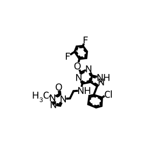 Cn1ncn(CCNc2nc(Oc3ccc(F)cc3F)nc3[nH]nc(-c4ccccc4Cl)c23)c1=O